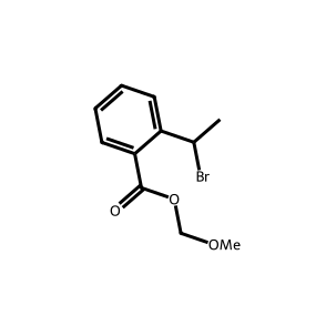 COCOC(=O)c1ccccc1C(C)Br